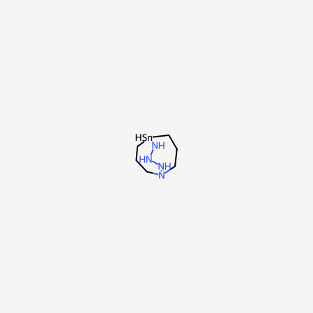 C1CN2CC[CH2][SnH]([CH2]1)[NH]NN2